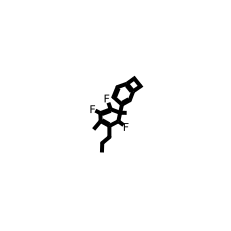 CCCC1=C(C)C(F)=C(F)C(C)(c2ccc3c(c2)CC3)C1F